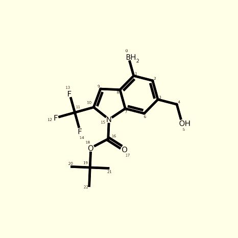 Bc1cc(CO)cc2c1cc(C(F)(F)F)n2C(=O)OC(C)(C)C